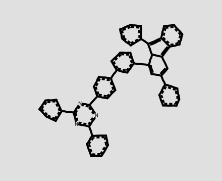 C1=C(c2ccccc2)C=C(c2cccc(-c3ccc(-c4nc(-c5ccccc5)nc(-c5ccccc5)n4)cc3)c2)C2C1=c1ccccc1=C2c1ccccc1